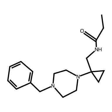 CCC(=O)NCC1(N2CCN(Cc3ccccc3)CC2)CC1